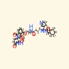 O=C(CCCNC(c1cccnc1)c1cc2ccccc2o1)NCCOc1cccc2c1C(=O)N(C1CCC(=O)NC1=O)C2=O